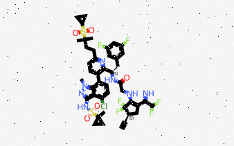 C#C[C@@H]1CC(C(=N)C(F)F)=C(NCC(=O)N[C@@H](Cc2cc(F)cc(F)c2)c2nc(CCC(C)(C)S(=O)(=O)C3CC3)ccc2-c2ccc(Cl)c3c(NS(=O)(=O)C4(C)CC4)nn(C)c23)C1(F)F